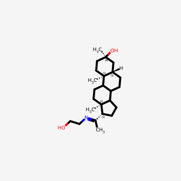 CC(=NCCO)[C@H]1CCC2C3CC[C@H]4C[C@](C)(O)CC[C@]4(C)C3CC[C@@]21C